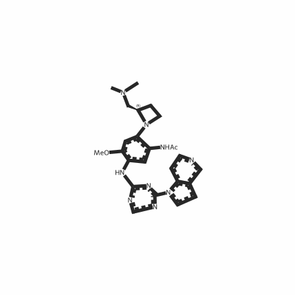 COc1cc(N2CC[C@@H]2CN(C)C)c(NC(C)=O)cc1Nc1ncnc(-n2ccc3cnccc32)n1